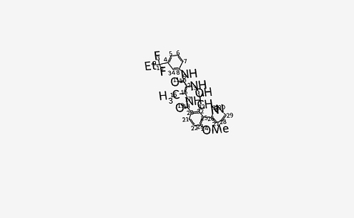 CCC(F)(F)c1cccc(NC(=O)/C(NO)=C(\C)NC(=O)c2ccc(OC)c(-c3cccnn3)c2C)c1